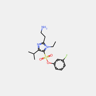 CCn1c(CCN)nc(C(C)C)c1S(=O)(=O)Oc1cccc(F)c1